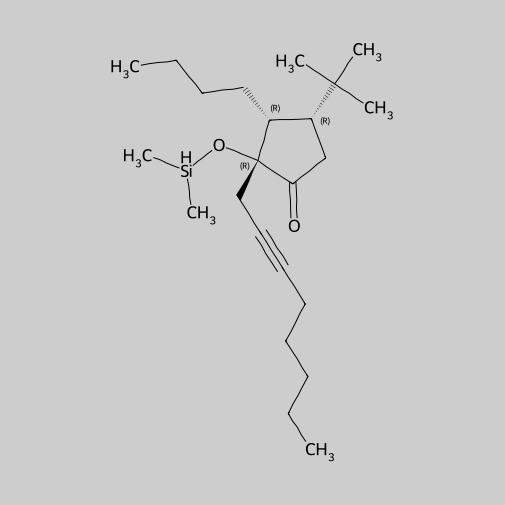 CCCCCC#CC[C@]1(O[SiH](C)C)C(=O)C[C@@H](C(C)(C)C)[C@H]1CCCC